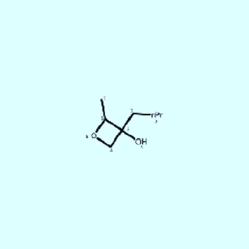 CCCCC1(O)COC1C